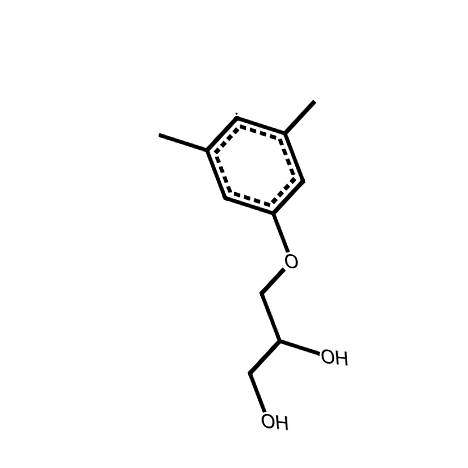 Cc1[c]c(C)cc(OCC(O)CO)c1